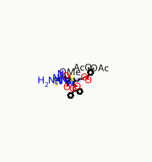 CO/N=C(\C(=O)NC1C(=O)N2C(C(=O)OC(c3ccccc3)c3ccccc3)=C(/C=C/COC(=O)c3ccc(OC(C)=O)c(OC(C)=O)c3)CS[C@H]12)c1nsc(N)n1